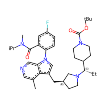 CC[C@@H](C1CCN(C(=O)OC(C)(C)C)CC1)N1CC[C@@H](Cc2cn(-c3ccc(F)cc3C(=O)N(C)C(C)C)c3cncc(C)c23)C1